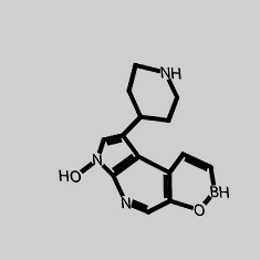 On1cc(C2CCNCC2)c2c3c(cnc21)OBC=C3